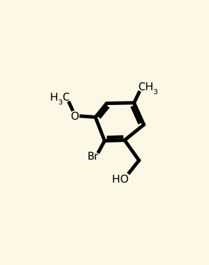 COc1cc(C)cc(CO)c1Br